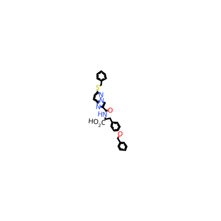 O=C(NC(Cc1ccc(OCc2ccccc2)cc1)C(=O)O)c1cn2nc(SCc3ccccc3)ccc2n1